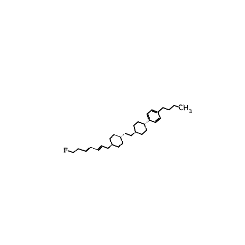 CCCCc1ccc([C@H]2CC[C@H](CC[C@H]3CC[C@H](CC=CCCCCF)CC3)CC2)cc1